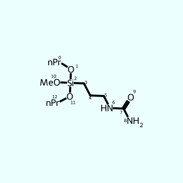 CCCO[Si](CCCNC(N)=O)(OC)OCCC